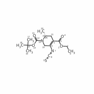 CCOC(=O)C1=C(N=C=S)CN(C(=O)OC(C)(C)C)[C@H](C)C1